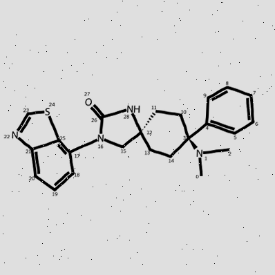 CN(C)[C@]1(c2ccccc2)CC[C@]2(CC1)CN(c1cccc3ncsc13)C(=O)N2